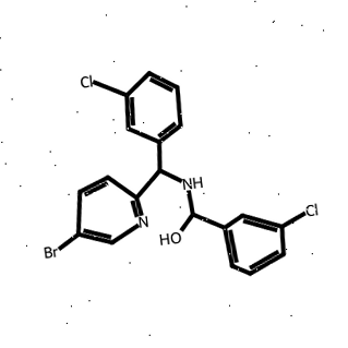 OC(NC(c1cccc(Cl)c1)c1ccc(Br)cn1)c1cccc(Cl)c1